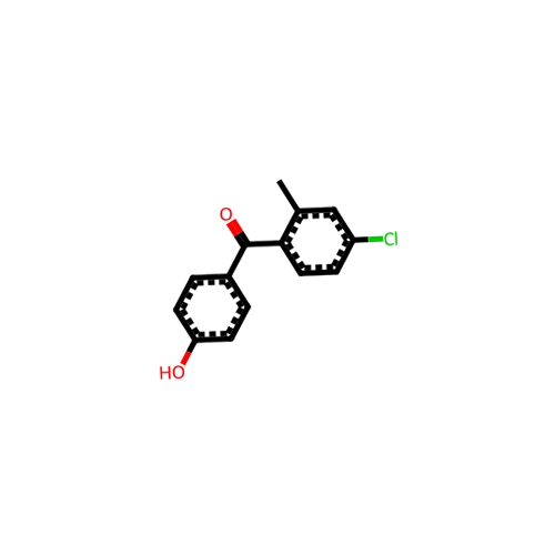 Cc1cc(Cl)ccc1C(=O)c1ccc(O)cc1